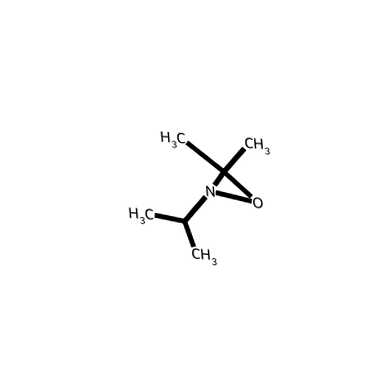 CC(C)N1OC1(C)C